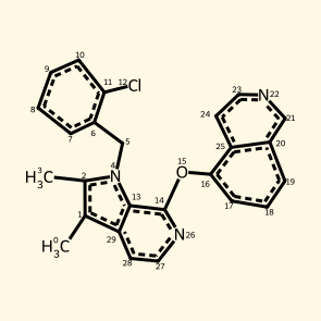 Cc1c(C)n(Cc2ccccc2Cl)c2c(Oc3cccc4cnccc34)nccc12